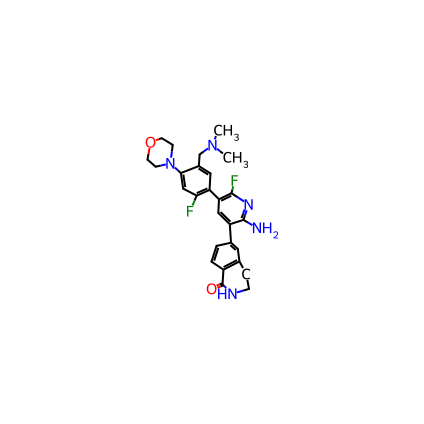 CN(C)Cc1cc(-c2cc(-c3ccc4c(c3)CCNC4=O)c(N)nc2F)c(F)cc1N1CCOCC1